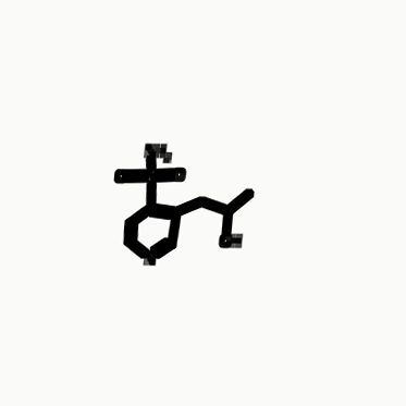 CC(O)Cc1cnccc1S(N)(=O)=O